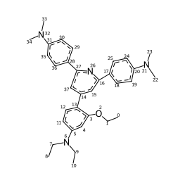 CCOc1cc(N(CC)CC)ccc1-c1cc(-c2ccc(N(C)C)cc2)nc(-c2ccc(N(C)C)cc2)c1